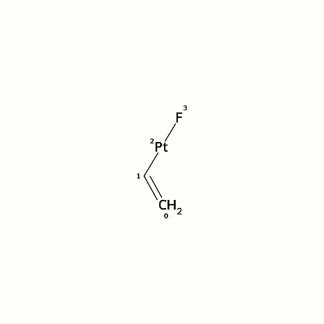 C=[CH][Pt][F]